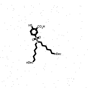 CCCCCCCCCCCCCCCCN(CCCCCCCCCCCCCCCC)S(=O)(=O)c1ccc(S)c(C(=O)O)c1